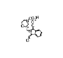 O=C=c1c2ccccc2c(=C=O)n1C[C@H]1CN(C(=O)O)CCO1